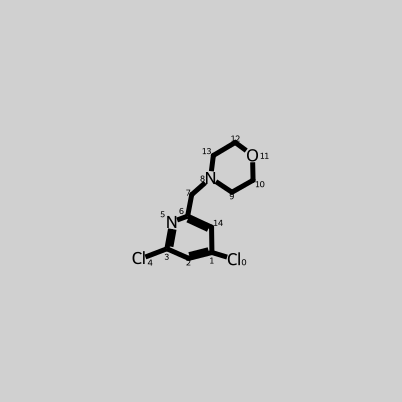 Clc1cc(Cl)nc(CN2CCOCC2)c1